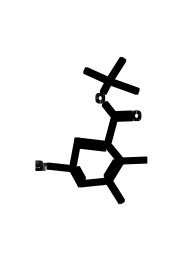 Cc1cc(Br)cc(C(=O)OC(C)(C)C)c1C